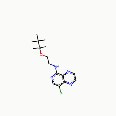 CC(C)(C)[Si](C)(C)OCCNc1ncc(Br)c2nccnc12